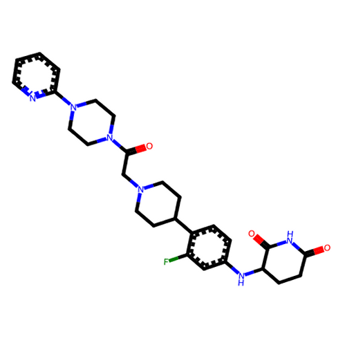 O=C1CCC(Nc2ccc(C3CCN(CC(=O)N4CCN(c5ccccn5)CC4)CC3)c(F)c2)C(=O)N1